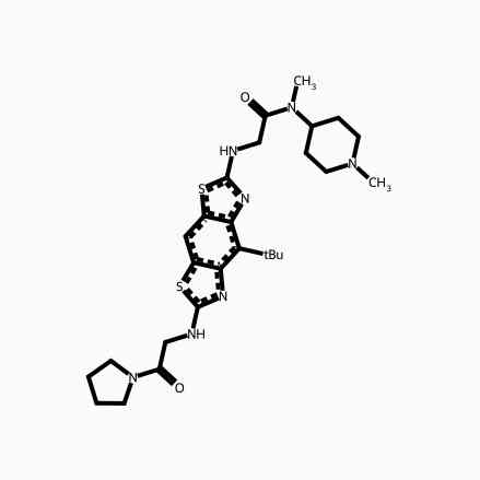 CN1CCC(N(C)C(=O)CNc2nc3c(C(C)(C)C)c4nc(NCC(=O)N5CCCC5)sc4cc3s2)CC1